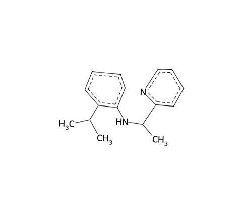 CC(C)c1ccccc1NC(C)c1ccccn1